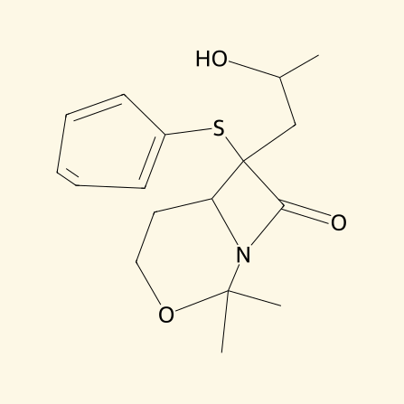 CC(O)CC1(Sc2ccccc2)C(=O)N2C1CCOC2(C)C